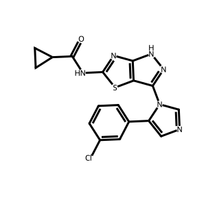 O=C(Nc1nc2[nH]nc(-n3cncc3-c3cccc(Cl)c3)c2s1)C1CC1